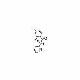 O=C(c1ccc(F)cc1F)C(F)(F)c1ccccn1